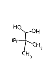 CC(C)C(C)(C)C(O)O